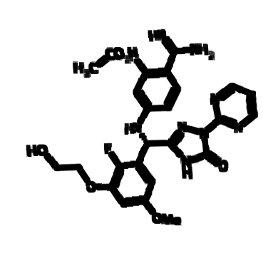 CC(=O)O.COc1cc(OCCO)c(F)c([C@H](Nc2ccc(C(=N)N)c(F)c2)c2nn(-c3ncccn3)c(=O)[nH]2)c1